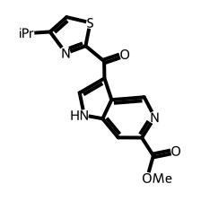 COC(=O)c1cc2[nH]cc(C(=O)c3nc(C(C)C)cs3)c2cn1